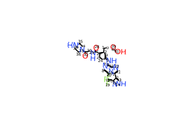 CCc1cc(Nc2nccn3c(-c4c[nH]nc4C(F)(F)F)cnc23)ccc1C(=O)NCC(=O)N1CCNCC1.O=CO